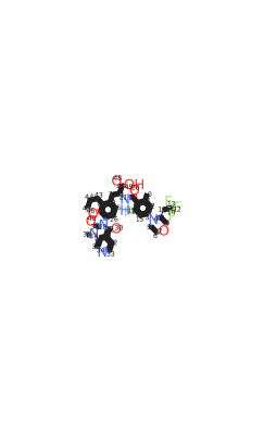 Cc1cc(N2CCOC[C@H]2CC(F)(F)F)cc(F)c1C(=O)NC(Cc1ccc(-n2c(=O)c3ccncc3n(C)c2=O)c2c1CCCO2)C(=O)O